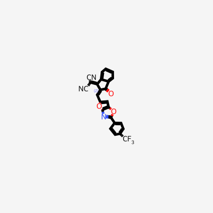 N#CC(C#N)=C1/C(=C/c2cc3oc(-c4ccc(C(F)(F)F)cc4)nc3o2)C(=O)c2ccccc21